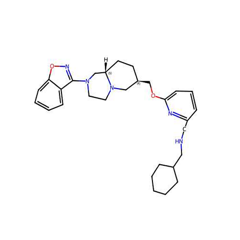 c1cc(CNCC2CCCCC2)nc(OC[C@@H]2CC[C@H]3CN(c4noc5ccccc45)CCN3C2)c1